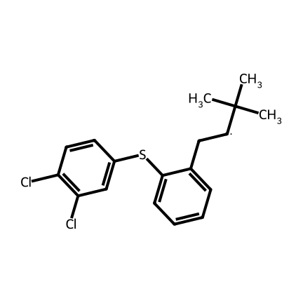 CC(C)(C)[CH]Cc1ccccc1Sc1ccc(Cl)c(Cl)c1